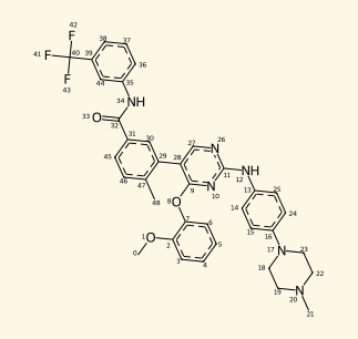 COc1ccccc1Oc1nc(Nc2ccc(N3CCN(C)CC3)cc2)ncc1-c1cc(C(=O)Nc2cccc(C(F)(F)F)c2)ccc1C